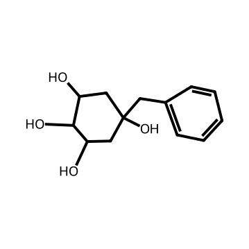 OC1CC(O)(Cc2ccccc2)CC(O)C1O